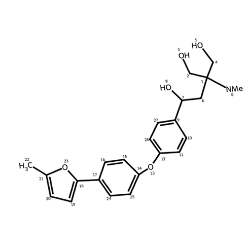 CNC(CO)(CO)CC(O)c1ccc(Oc2ccc(-c3ccc(C)o3)cc2)cc1